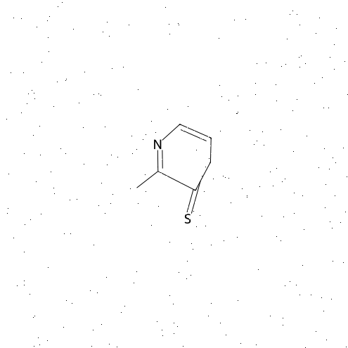 CC1=NC=CCC1=S